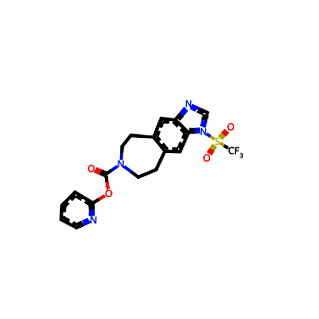 O=C(Oc1ccccn1)N1CCc2cc3ncn(S(=O)(=O)C(F)(F)F)c3cc2CC1